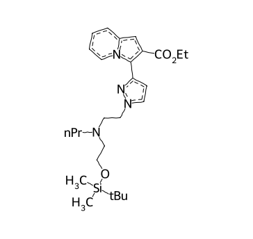 CCCN(CCO[Si](C)(C)C(C)(C)C)CCn1ccc(-c2c(C(=O)OCC)cc3ccccn23)n1